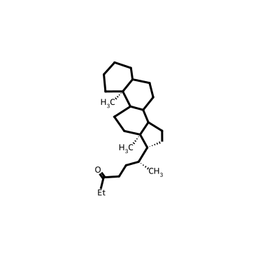 CCC(=O)CC[C@@H](C)[C@H]1CCC2C3CCC4CCCC[C@]4(C)C3CC[C@@]21C